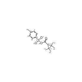 Cc1ccc(S(=O)(=O)OC(=O)C2C(C)(C)C2(C)C)cc1